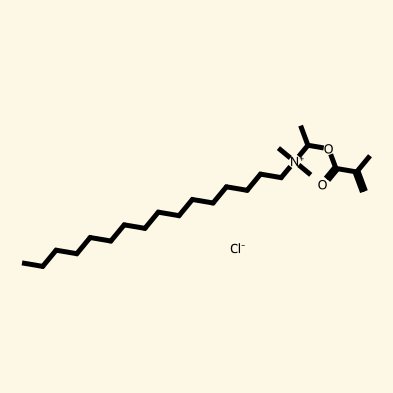 C=C(C)C(=O)OC(C)[N+](C)(C)CCCCCCCCCCCCCCCC.[Cl-]